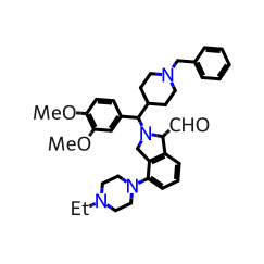 CCN1CCN(c2cccc3c2CN(C(c2ccc(OC)c(OC)c2)C2CCN(Cc4ccccc4)CC2)C3C=O)CC1